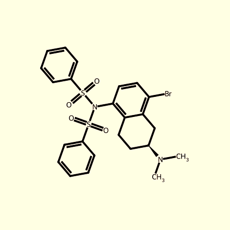 CN(C)[C@H]1CCc2c(N(S(=O)(=O)c3ccccc3)S(=O)(=O)c3ccccc3)ccc(Br)c2C1